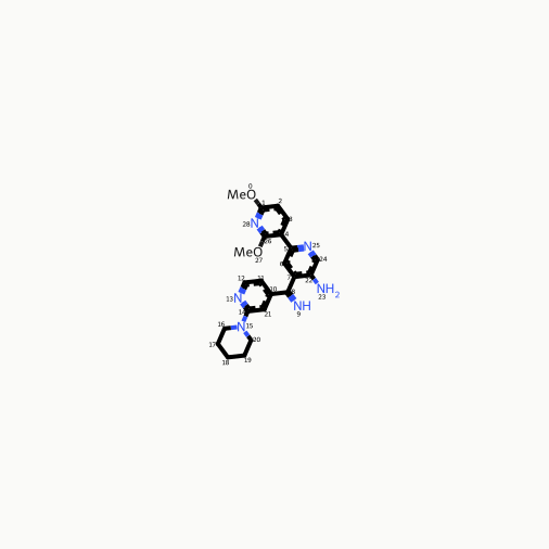 COc1ccc(-c2cc(C(=N)c3ccnc(N4CCCCC4)c3)c(N)cn2)c(OC)n1